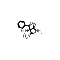 NC(=O)C(N)(C(N)=O)C(=O)c1ccccc1